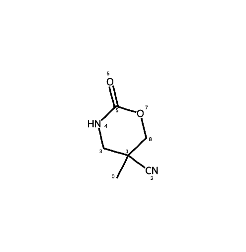 CC1(C#N)CNC(=O)OC1